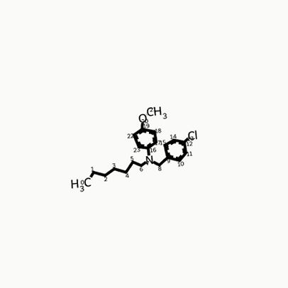 CCCCCCCN(Cc1ccc(Cl)cc1)c1ccc(OC)cc1